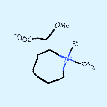 CC[N+]1(C)CCCCC1.COCC(=O)[O-]